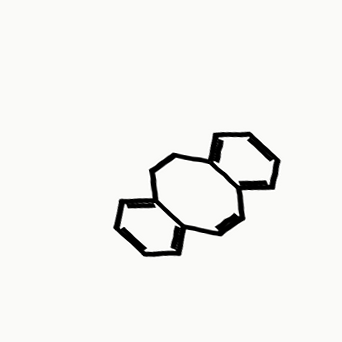 C1=C\c2ccccc2CCc2ccccc2/1